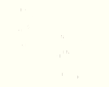 [O-][S+](CC(F)(F)F)c1cc(/N=C(\NCC(F)F)C2CC2)c(Cl)cc1Cl